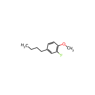 CCCCc1ccc(OC)c(F)c1